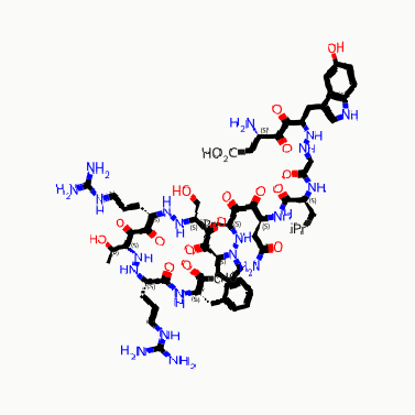 CC(C)C[C@H](NC(=O)CNNC(Cc1c[nH]c2ccc(O)cc12)C(=O)C(=O)[C@@H](N)CC(=O)O)C(=O)N[C@@H](CC(N)=O)C(=O)C(=O)[C@@H](NN1CCC[C@H]1C(=O)C(=O)[C@H](CO)NN[C@@H](CCCNC(N)N)C(=O)C(=O)[C@@H](NN[C@@H](CCCNC(N)N)C(=O)N[C@@H](Cc1ccccc1)C(=O)C=O)[C@@H](C)O)C(C)C